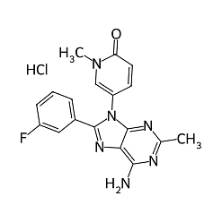 Cc1nc(N)c2nc(-c3cccc(F)c3)n(-c3ccc(=O)n(C)c3)c2n1.Cl